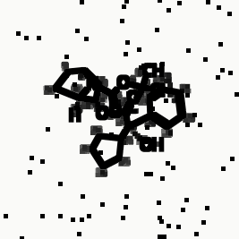 CC(C)(C)OC(=O)N1C2CC[C@@H]1[C@@H](OC(=O)[C@@](O)(c1ccccc1)C1CCCC1)C2